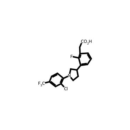 O=C(O)Cc1cccc(C2CCN(c3ccc(C(F)(F)F)cc3Cl)C2)c1F